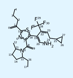 C=C(CCC)c1nc(C(=C)N2C(C)CCC2CC)c(C(=C/N)/C(=C\CC2CC2)C(F)(F)F)s1